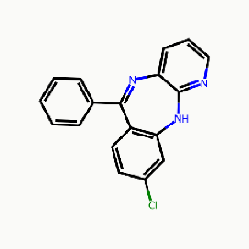 Clc1ccc2c(c1)Nc1ncccc1N=C2c1ccccc1